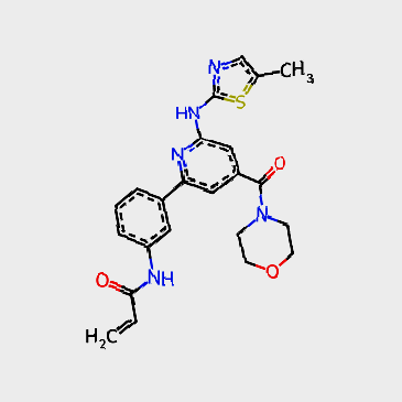 C=CC(=O)Nc1cccc(-c2cc(C(=O)N3CCOCC3)cc(Nc3ncc(C)s3)n2)c1